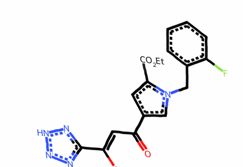 CCOC(=O)c1cc(C(=O)C=C(O)c2nn[nH]n2)cn1Cc1ccccc1F